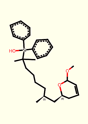 COC1C=CC[C@@H](C[C@@H](C)CCCCC(C)(C)[Si](O)(c2ccccc2)c2ccccc2)O1